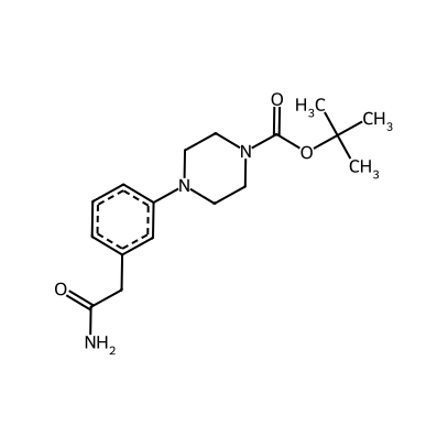 CC(C)(C)OC(=O)N1CCN(c2cccc(CC(N)=O)c2)CC1